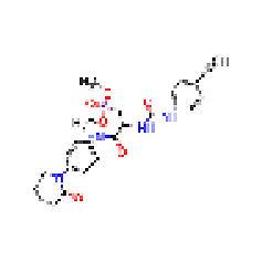 C#Cc1ccc(NC(=O)NC(CP(=O)(OC)OC)C(=O)Nc2ccc(N3CCCCC3=O)cc2)cc1